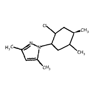 Cc1cc(C)n(C2CC(C)[C@H](C)CC2Cl)n1